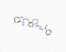 O=C(NCNC1CCCc2c(Cc3nc4ccccc4[nH]3)ccnc21)c1ccccc1